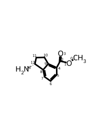 COC(=O)c1cccc2c1CC[C@H]2N